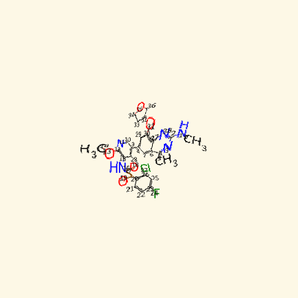 CNc1nc(C)c2cc(-c3cnc(OC)c(NS(=O)(=O)c4ccc(F)cc4Cl)c3)cc(OC3CCOC3)c2n1